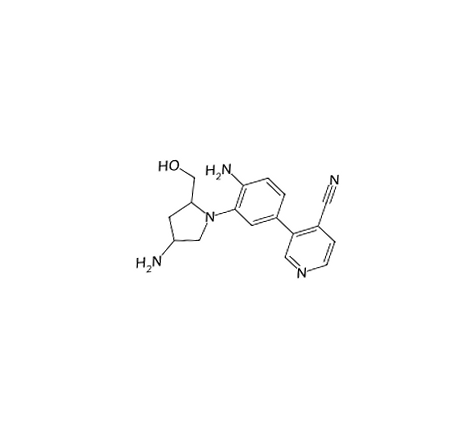 N#Cc1ccncc1-c1ccc(N)c(N2CC(N)CC2CO)c1